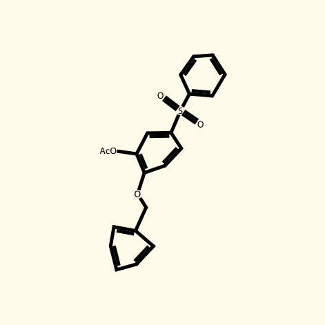 CC(=O)Oc1cc(S(=O)(=O)c2ccccc2)ccc1OCc1ccccc1